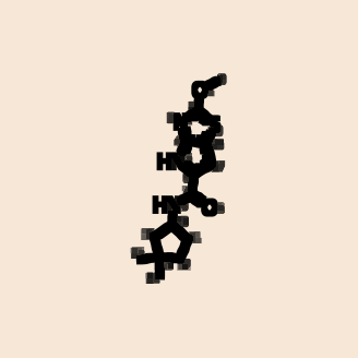 COc1nc2[nH]c(C(=O)NC3CCC(C)(C)C3)cc2s1